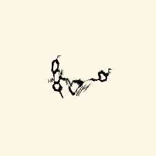 Cc1ccc2c(c1)C(N1CCN[C@@H](CCc3ccc(F)cc3)C1)=Nc1cc(F)ccc1N2